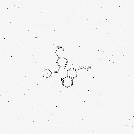 NCc1cccc(C=C2CCCC2)c1.O=C(O)c1ccc2ncccc2c1